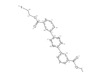 O=C(OCCF)c1cccc(-c2nnc(-c3cccc(C(=O)OCCF)c3)nn2)c1